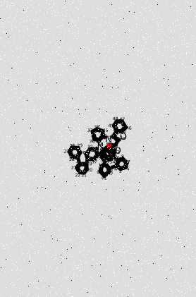 c1ccc(-c2ccccc2-c2ccc3c(c2)c2cc(-c4ccccc4-c4ccccc4)ccc2n3-c2ccccc2N2c3c(oc4ccccc34)C3Oc4ccccc4C32)cc1